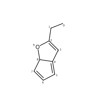 CCC1=[C]C2=CC=CC2O1